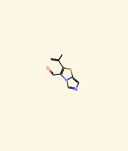 C=C(C)c1sc2cncn2c1C=O